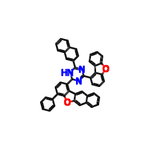 c1ccc(-c2ccc(C3N=C(c4cccc5oc6ccccc6c45)N=C(c4ccc5ccccc5c4)N3)c3c2oc2cc4ccccc4cc23)cc1